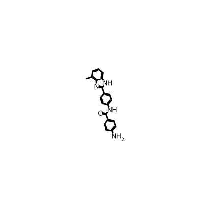 Cc1cccc2[nH]c(-c3ccc(NC(=O)c4ccc(N)cc4)cc3)nc12